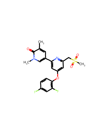 Cc1cc(-c2cc(Oc3ccc(F)cc3F)cc(CS(C)(=O)=O)n2)cn(C)c1=O